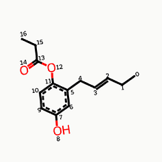 CCC=CCc1cc(O)ccc1OC(=O)CC